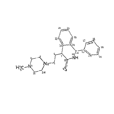 CN1CCN(CCC2C(=S)NC(c3ccccc3)c3ccccc32)CC1